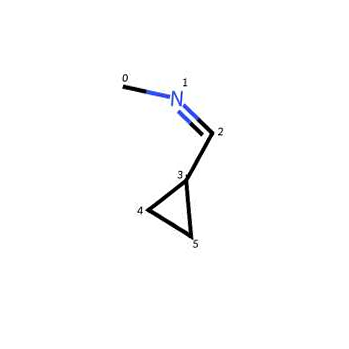 C/N=C\[C]1CC1